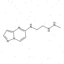 CNNCCNc1ccn2nccc2n1